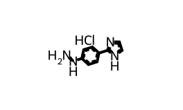 Cl.NNc1ccc(-c2ncc[nH]2)cc1